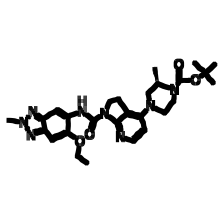 CCOc1cc2nn(C)nc2cc1NC(=O)N1CCc2c(N3CCN(C(=O)OC(C)(C)C)[C@H](C)C3)ccnc21